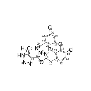 Cc1[nH]nnc1-c1nnc(Cc2ccc(Cl)c(Oc3cc(Cl)cc(C#N)c3)c2F)o1